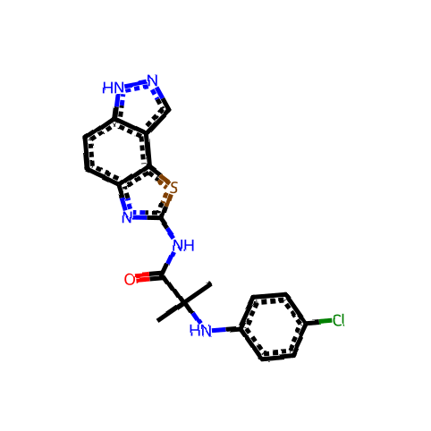 CC(C)(Nc1ccc(Cl)cc1)C(=O)Nc1nc2ccc3[nH]ncc3c2s1